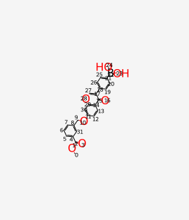 COC(=O)c1cccc(COc2ccc3c(=O)c(-c4ccc(B(O)O)cc4)coc3c2)c1